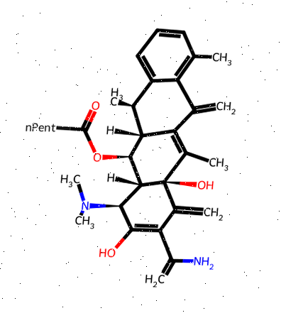 C=C(N)C1=C(O)[C@@H](N(C)C)[C@@H]2[C@@H](OC(=O)CCCCC)[C@H]3C(=C(C)[C@]2(O)C1=C)C(=C)c1c(C)cccc1[C@@H]3C